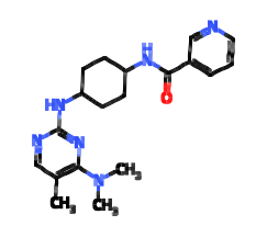 Cc1cnc(NC2CCC(NC(=O)c3cccnc3)CC2)nc1N(C)C